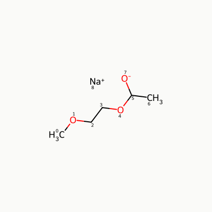 COCCOC(C)[O-].[Na+]